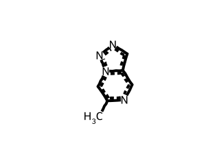 Cc1cn2nncc2cn1